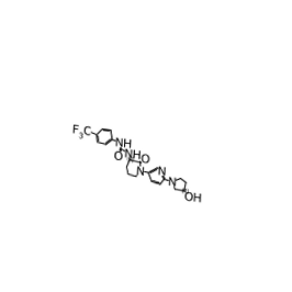 O=C(Nc1ccc(C(F)(F)F)cc1)N[C@@H]1CCCN(c2ccc(N3CC[C@@H](O)C3)nc2)C1=O